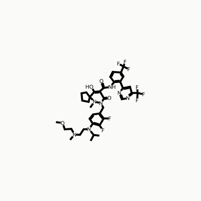 COCCN(C)CCN(c1ccc(CN2C(=O)C(C(=O)Nc3ccc(C(F)(F)F)cc3-c3cc(C(F)(F)F)ncn3)=C(O)C3(CCCC3)N2C)c(F)c1F)C(C)C